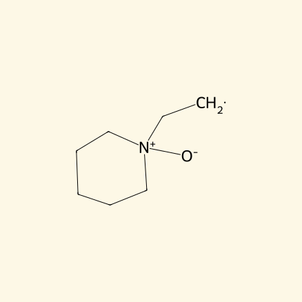 [CH2]C[N+]1([O-])CCCCC1